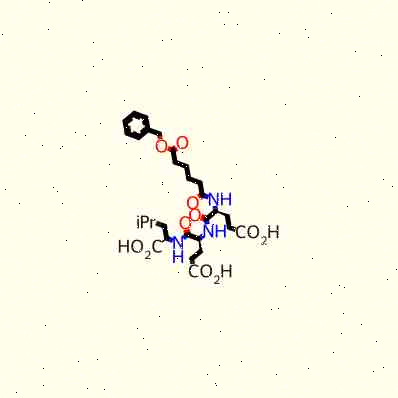 CC(C)C[C@H](NC(=O)[C@H](CCC(=O)O)NC(=O)[C@H](CCC(=O)O)NC(=O)CCCCC(=O)OCc1ccccc1)C(=O)O